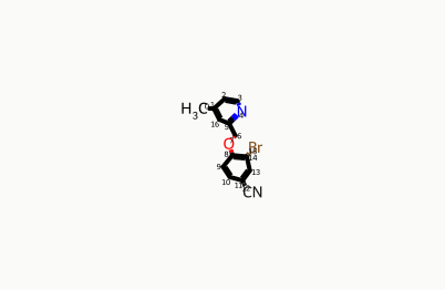 Cc1ccnc(COc2ccc(C#N)cc2Br)c1